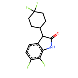 O=C1Nc2c(ccc(F)c2F)C1C1CCC(F)(F)CC1